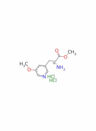 COC(=O)[C@H](N)Cc1cncc(OC)c1.Cl.Cl